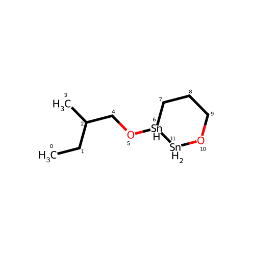 CCC(C)C[O][SnH]1[CH2]CC[O][SnH2]1